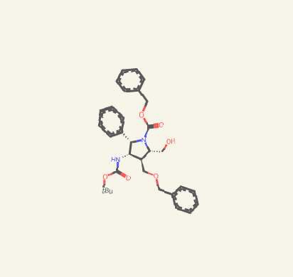 CC(C)(C)OC(=O)N[C@H]1[C@H](COCc2ccccc2)[C@@H](CO)N(C(=O)OCc2ccccc2)[C@H]1c1ccccc1